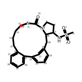 CS(=O)(=O)NC1CCN2C(=O)N3CC(CCc4ccccc4-c4cccc(c4)CC12)C3